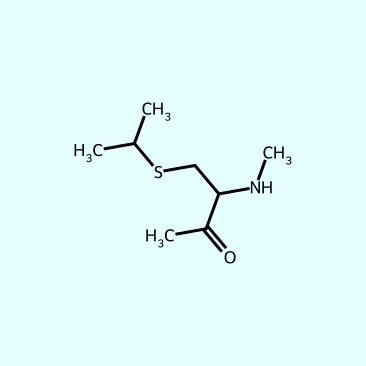 CNC(CSC(C)C)C(C)=O